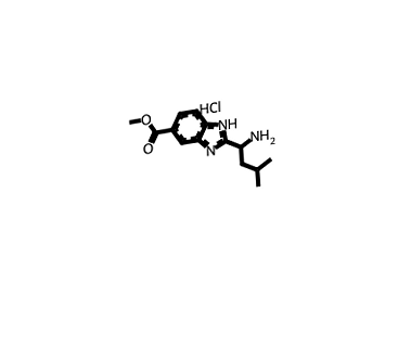 COC(=O)c1ccc2[nH]c(C(N)CC(C)C)nc2c1.Cl